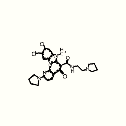 Cn1c2cc(Cl)c(Cl)cc2n2c3nc(N4CCCC4)ccc3c(=O)c(C(=O)NCCN3CCCC3)c12